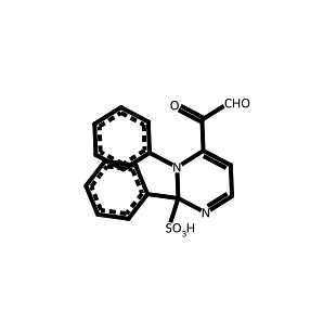 O=CC(=O)C1=CC=NC(c2ccccc2)(S(=O)(=O)O)N1c1ccccc1